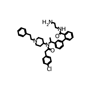 CC(c1cccc(-c2ccccc2C(=O)NCCN)c1)N(C(=O)Cc1ccc(Cl)cc1)C1CCN(CCc2ccccc2)CC1